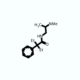 CCC(CC)(C(=O)NCC(C)NC)c1ccccc1